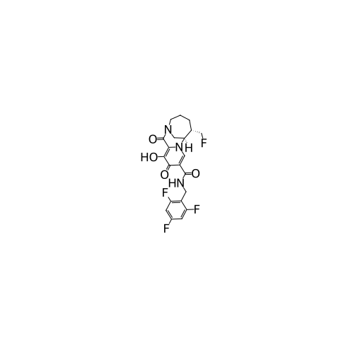 O=C(NCc1c(F)cc(F)cc1F)c1cn2c(c(O)c1=O)C(=O)N1CCC[C@H](CF)[C@@H]2C1